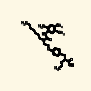 CCCCCCCN(CCOc1ccc(CC(OCC)C(=O)O)cc1)C(=O)Nc1cc(C)c(C)cc1C